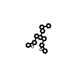 c1ccc(-c2cccc3cc(-c4c5cccc(-c6ccc7oc8ccccc8c7c6)c5cc5c(-c6ccc7oc8ccccc8c7c6)cccc45)ccc23)cc1